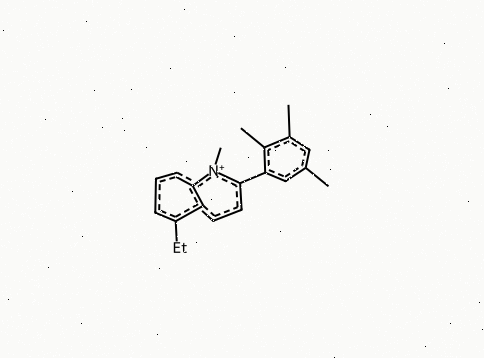 CCc1cccc2c1ccc(-c1cc(C)cc(C)c1C)[n+]2C